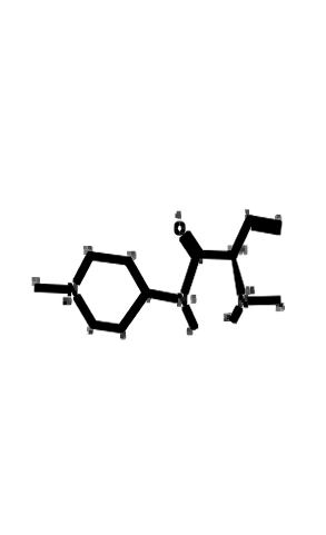 C=C[C@H](C(=O)N(C)C1CCN(C)CC1)N(C)C